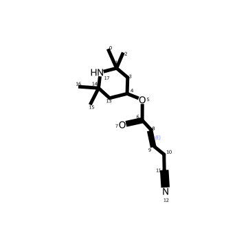 CC1(C)CC(OC(=O)/C=C/CC#N)CC(C)(C)N1